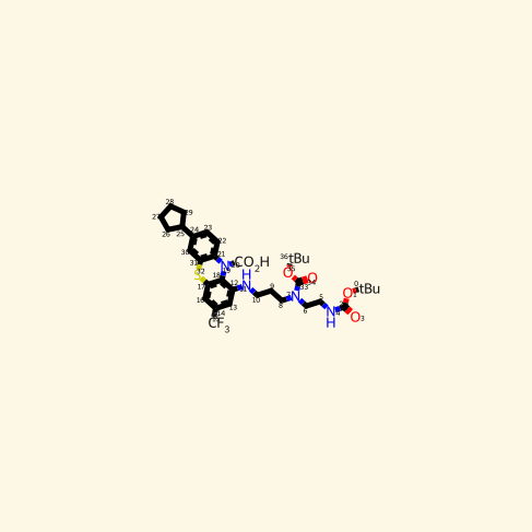 CC(C)(C)OC(=O)NCCN(CCCNc1cc(C(F)(F)F)cc2c1N(C(=O)O)c1ccc(C3CCCC3)cc1S2)C(=O)OC(C)(C)C